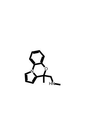 CNCC1(C)Oc2ccccc2-n2cccc21